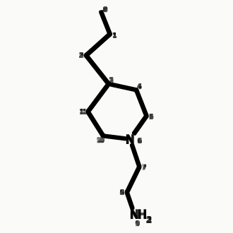 CCCC1CCN(CCN)CC1